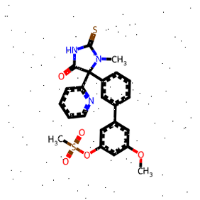 COc1cc(OS(C)(=O)=O)cc(-c2cccc(C3(c4ccccn4)C(=O)NC(=S)N3C)c2)c1